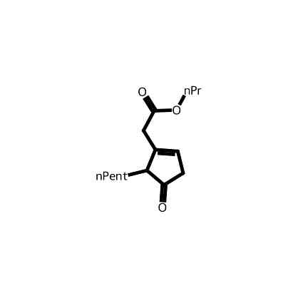 CCCCCC1C(=O)CC=C1CC(=O)OCCC